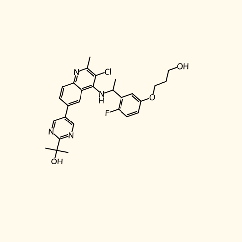 Cc1nc2ccc(-c3cnc(C(C)(C)O)nc3)cc2c(NC(C)c2cc(OCCCO)ccc2F)c1Cl